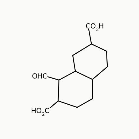 O=CC1C(C(=O)O)CCC2CCC(C(=O)O)CC21